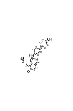 CCOCCn1c(=O)ccc2cnc(Nc3ccc(N4CCN(C)CC4)cc3)nc21